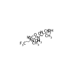 CN(C(=O)CCC(F)(F)F)C(C)(C)C(=O)Nc1cc(C(C)(C)CO)no1